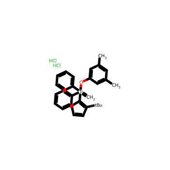 Cl.Cl.[CH2]=[Ti]([O]c1cc(C)cc(C)c1)([C]1=C(C(C)(C)C)C=CC1)([c]1ccccc1)[c]1ccccc1